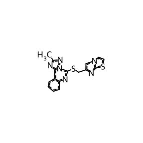 Cc1nc2c3ccccc3nc(SCc3cn4ccsc4n3)n2n1